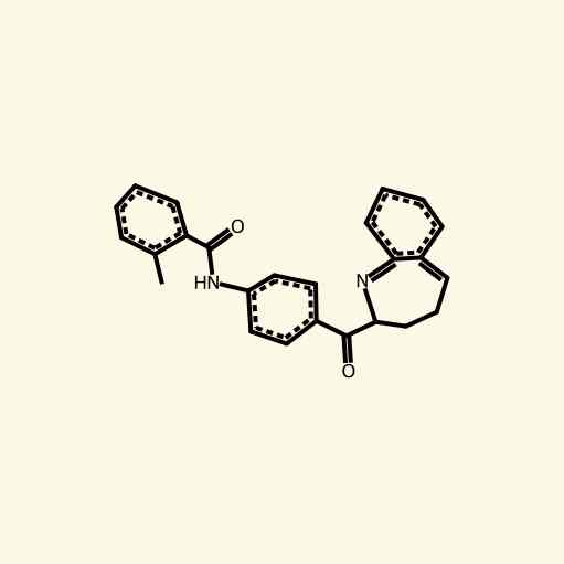 Cc1ccccc1C(=O)Nc1ccc(C(=O)C2CCC=c3ccccc3=N2)cc1